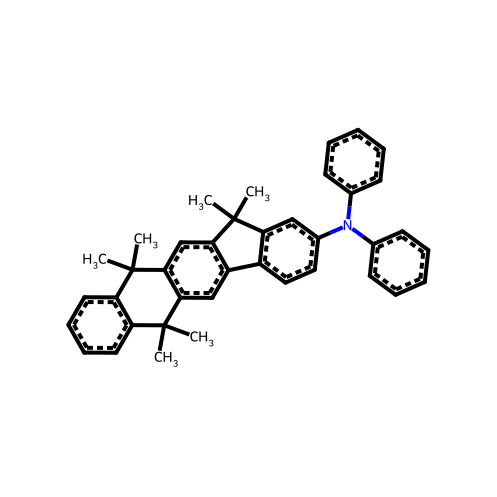 CC1(C)c2cc(N(c3ccccc3)c3ccccc3)ccc2-c2cc3c(cc21)C(C)(C)c1ccccc1C3(C)C